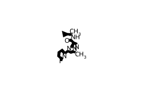 Cc1cc(-c2cccc(F)n2)nc2c(C(=O)N[C@H](C)C3CC3)cnn12